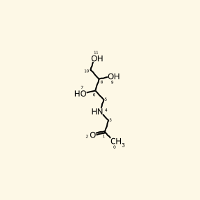 CC(=O)CNCC(O)C(O)CO